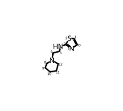 c1csc(NCCN2CCCCC2)n1